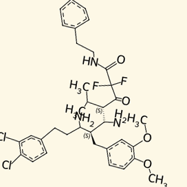 COc1ccc(C[C@@H](C(N)CCc2ccc(Cl)c(Cl)c2)C(N)[C@@H](C(=O)C(F)(F)C(=O)NCCc2ccccc2)C(C)C)cc1OC